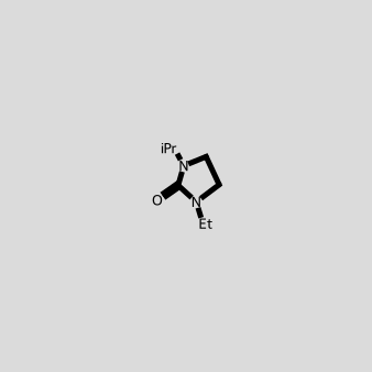 CCN1CCN(C(C)C)C1=O